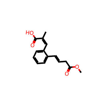 COC(=O)CC=Cc1ccccc1C=C(C)C(=O)O